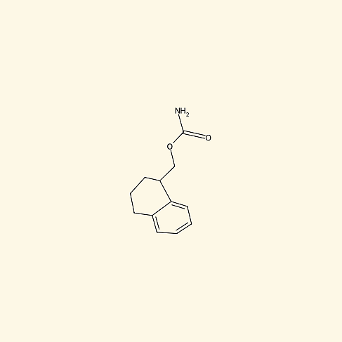 NC(=O)OCC1CCCc2ccccc21